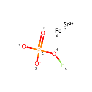 O=P([O-])([O-])OF.[Fe].[Sr+2]